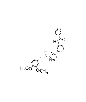 COc1ccc(CCNc2nccc(-c3cccc(NC(=O)C4CCOC4)c3)n2)cc1OC